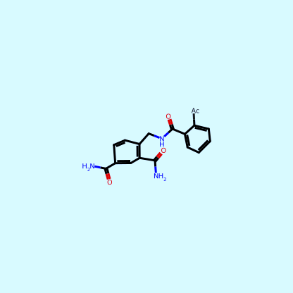 CC(=O)c1ccccc1C(=O)NCc1ccc(C(N)=O)cc1C(N)=O